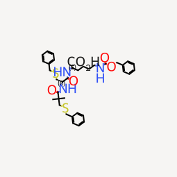 CC(C)(CSCc1ccccc1)C(=O)N[C@@H](CSCc1ccccc1)C(=O)N[C@@H](CCCCNC(=O)OCc1ccccc1)C(=O)O